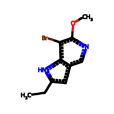 CCc1cc2cnc(OC)c(Br)c2[nH]1